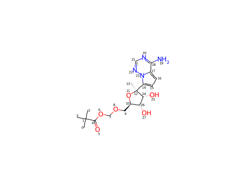 CC(C)(C)C(=O)OCOC[C@H]1O[C@@](C)(c2ccc3c(N)ncnn23)[C@H](O)[C@@H]1O